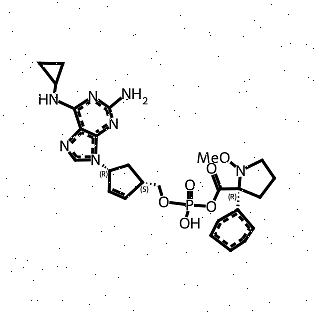 CON1CCC[C@]1(C(=O)OP(=O)(O)OC[C@@H]1C=C[C@H](n2cnc3c(NC4CC4)nc(N)nc32)C1)c1ccccc1